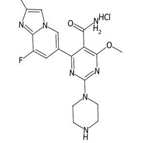 COc1nc(N2CCNCC2)nc(-c2cc(F)c3nc(C)cn3c2)c1C(N)=O.Cl